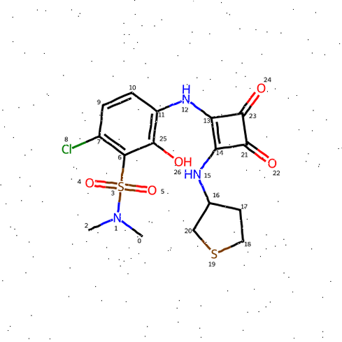 CN(C)S(=O)(=O)c1c(Cl)ccc(Nc2c(NC3CCSC3)c(=O)c2=O)c1O